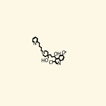 COc1ccc2ncc(Cl)c([C@@H](O)CCC3(CO)CCN(CCCCc4ccccn4)CC3)c2c1